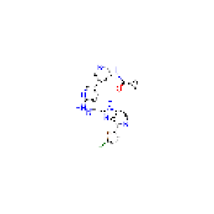 O=C(Nc1cncc(-c2cnc3[nH]nc(-c4nc5c(-c6ccc(F)s6)nccc5[nH]4)c3c2)c1)C1CC1